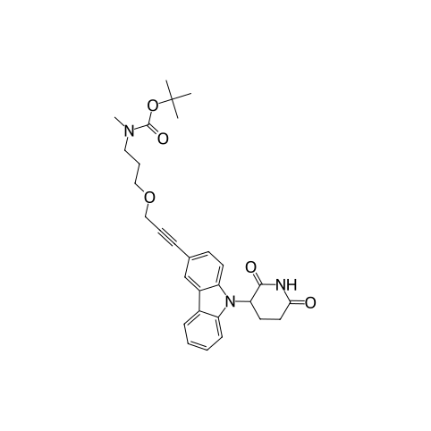 CN(CCCOCC#Cc1ccc2c(c1)c1ccccc1n2C1CCC(=O)NC1=O)C(=O)OC(C)(C)C